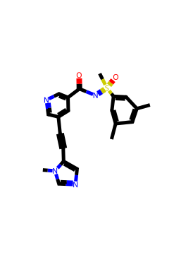 Cc1cc(C)cc(S(C)(=O)=NC(=O)c2cncc(C#Cc3cncn3C)c2)c1